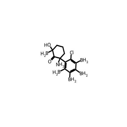 Bc1c(B)c(B)c(C2(N)CCCC(B)(O)C2=O)c(Cl)c1B